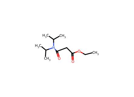 CCOC(=O)CC(=O)N(C(C)C)C(C)C